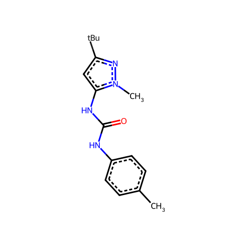 Cc1ccc(NC(=O)Nc2cc(C(C)(C)C)nn2C)cc1